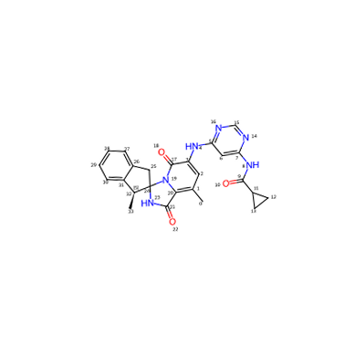 Cc1cc(Nc2cc(NC(=O)C3CC3)ncn2)c(=O)n2c1C(=O)NC21Cc2ccccc2[C@@H]1C